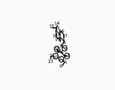 CCOC(=O)C(OCCN1CCN(C(C)C)CC1)C(=O)OCC